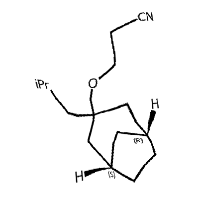 CC(C)CC1(OCCC#N)C[C@@H]2CC[C@@H](C2)C1